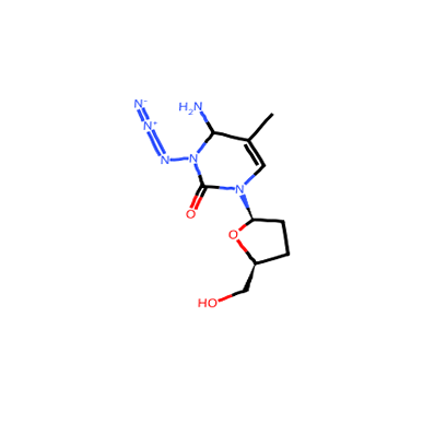 CC1=CN([C@H]2CC[C@@H](CO)O2)C(=O)N(N=[N+]=[N-])C1N